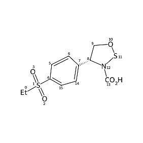 CCS(=O)(=O)c1ccc([C@@H]2COSN2C(=O)O)cc1